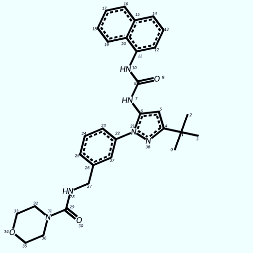 CC(C)(C)c1cc(NC(=O)Nc2cccc3ccccc23)n(-c2cccc(CNC(=O)N3CCOCC3)c2)n1